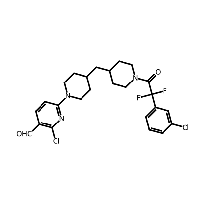 O=Cc1ccc(N2CCC(CC3CCN(C(=O)C(F)(F)c4cccc(Cl)c4)CC3)CC2)nc1Cl